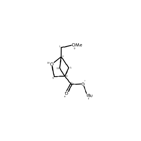 COCC12CC(C(=O)OC(C)(C)C)(CO1)C2